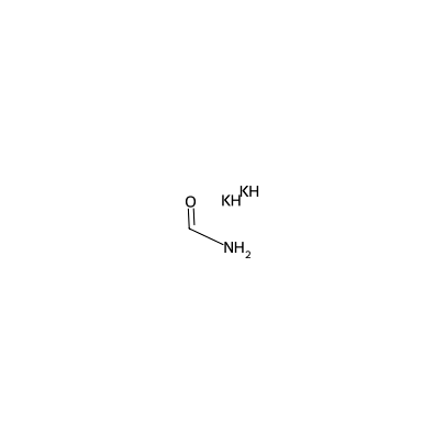 NC=O.[KH].[KH]